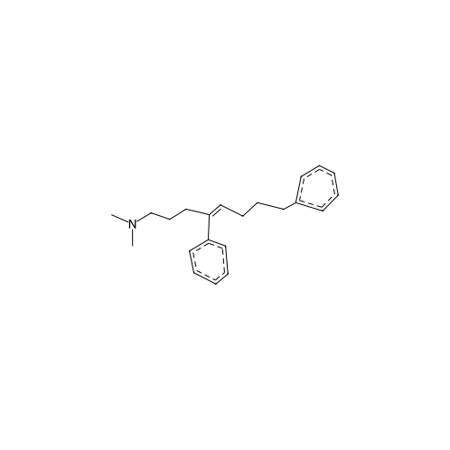 CN(C)CCC/C(=C/CCCc1ccccc1)c1ccccc1